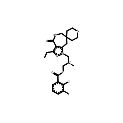 CCc1nn(C[C@@H](C)COC(=O)c2cccc(F)c2Cl)c2c1C(=O)NCC1(CCOCC1)C2